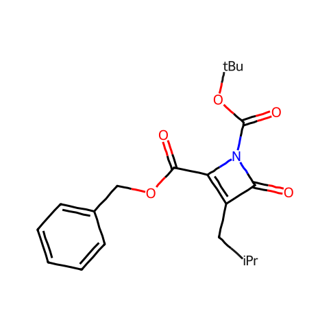 CC(C)CC1=C(C(=O)OCc2ccccc2)N(C(=O)OC(C)(C)C)C1=O